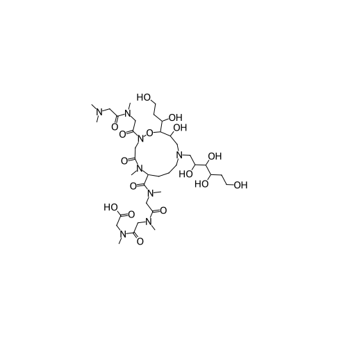 CN(C)CC(=O)N(C)CC(=O)N1CC(=O)N(C)C(C(=O)N(C)CC(=O)N(C)CC(=O)N(C)CC(=O)O)CCCN(CC(O)C(O)C(O)CCO)CC(O)C(C(O)CCO)O1